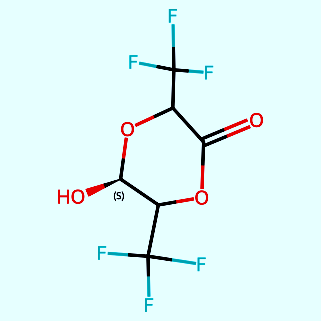 O=C1OC(C(F)(F)F)[C@@H](O)OC1C(F)(F)F